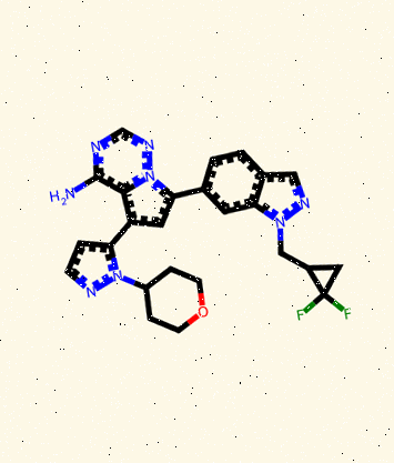 Nc1ncnn2c(-c3ccc4cnn(CC5CC5(F)F)c4c3)cc(-c3ccnn3C3CCOCC3)c12